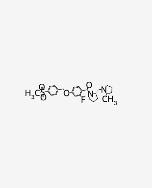 C[C@@H]1CCCN1C[C@@H]1CCCN1C(=O)c1ccc(OCc2ccc(S(C)(=O)=O)cc2)cc1F